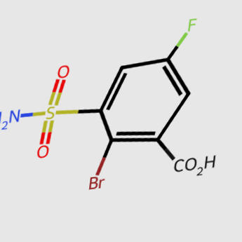 NS(=O)(=O)c1cc(F)cc(C(=O)O)c1Br